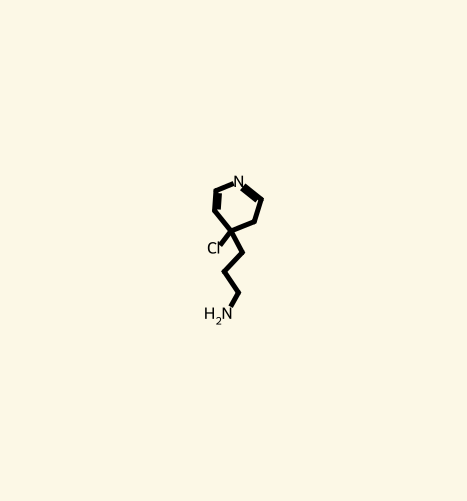 NCCCC1(Cl)C=CN=CC1